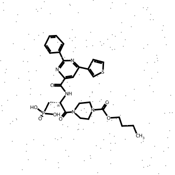 CCCCOC(=O)N1CCN(C(=O)[C@H](CP(=O)(O)O)NC(=O)c2cc(-c3ccsc3)nc(-c3ccccc3)n2)CC1